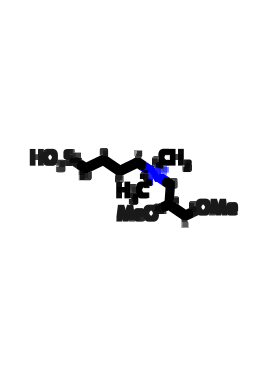 COCC(C[N+](C)(C)CCCCS(=O)(=O)O)OC